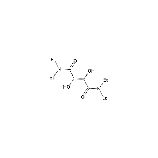 CCN(CC)C(=O)C(O)C(O)C(=O)N(CC)CC